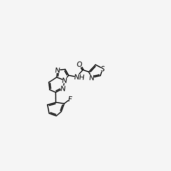 O=C(Nc1cnc2ccc(-c3ccccc3F)nn12)c1cscn1